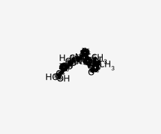 Cc1nc(C)c2c(n1)N(Cc1ccc(-c3ccccc3-c3nnn(C(C)OC(=O)Oc4cccc(CON(O)O)c4)n3)cc1)C(=O)CC2